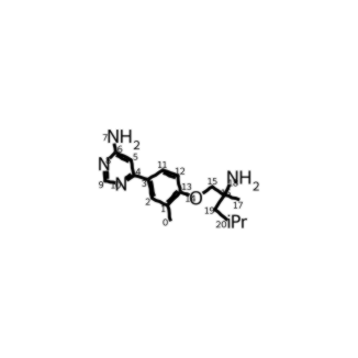 Cc1cc(-c2cc(N)ncn2)ccc1OCC(C)(N)CC(C)C